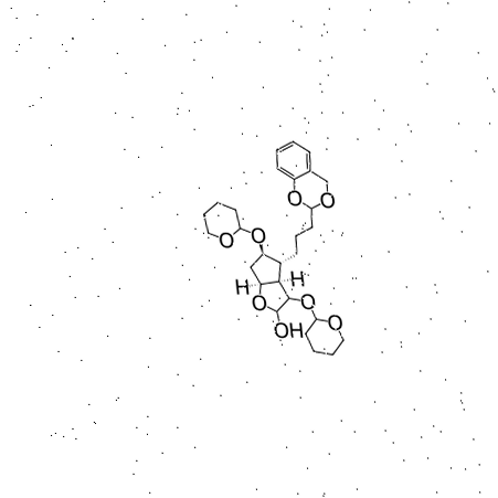 OC1O[C@H]2C[C@@H](OC3CCCCO3)[C@H](CCCC3OCc4ccccc4O3)[C@H]2C1OC1CCCCO1